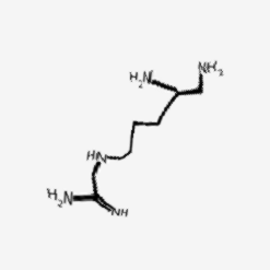 N=C(N)NCCCC(N)CN